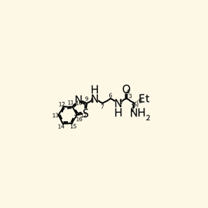 CC[C@H](N)C(=O)NCCNc1nc2ccccc2s1